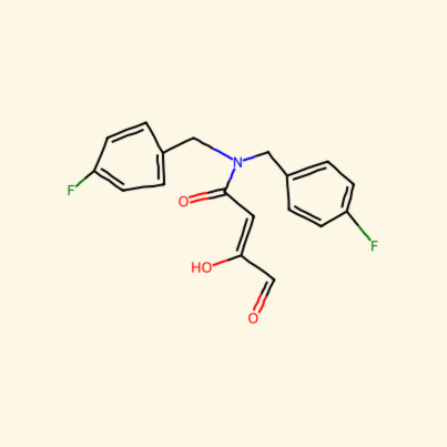 O=CC(O)=CC(=O)N(Cc1ccc(F)cc1)Cc1ccc(F)cc1